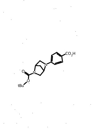 CC(C)(C)OC(=O)N1CC2CC1CN2c1ccc(C(=O)O)cc1